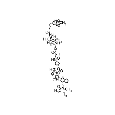 CC[C@@]1(OC(=O)OCc2ccc(NC(=O)CNC(=O)COCC(=O)NC(C)(C)COC(C)(C)CNC(=O)CCC/C=C\c3cnc(S(C)(=O)=O)nc3)cc2)C(=O)OCc2c1cc1n(c2=O)Cc2c-1nc1ccccc1c2CCN(C(C)=O)C(C)C